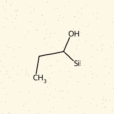 CCC(O)[Si]